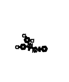 Cc1c(-c2cn(C(C)(C)c3ccccc3)cn2)nn(-c2ccc(Cl)cc2Cl)c1-c1ccc(Cl)cc1